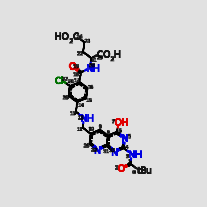 CC(C)(C)C(=O)Nc1nc(O)c2cc(CNCc3ccc(C(=O)N[C@@H](CCC(=O)O)C(=O)O)c(Cl)c3)cnc2n1